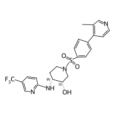 Cc1cnccc1-c1ccc(S(=O)(=O)N2CC[C@@H](Nc3ccc(C(F)(F)F)cn3)[C@@H](O)C2)cc1